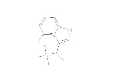 Cc1cccc2[nH]cc(C(C)[N+](C)(C)C)c12.[I-]